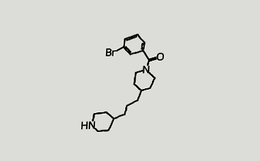 O=C(c1cccc(Br)c1)N1CCC(CCCC2CCNCC2)CC1